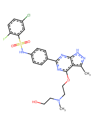 Cc1n[nH]c2nc(-c3ccc(NS(=O)(=O)c4cc(Cl)ccc4F)cc3)nc(OCCN(C)CCO)c12